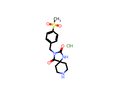 CS(=O)(=O)c1ccc(CN2C(=O)NC3(CCNCC3)C2=O)cc1.Cl